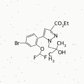 CCOC(=O)c1cc(-c2ccc(Br)cc2OC(F)F)n(CC(C)(C)O)n1